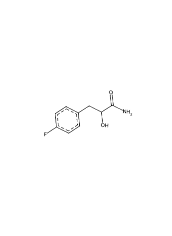 NC(=O)C(O)Cc1ccc(F)cc1